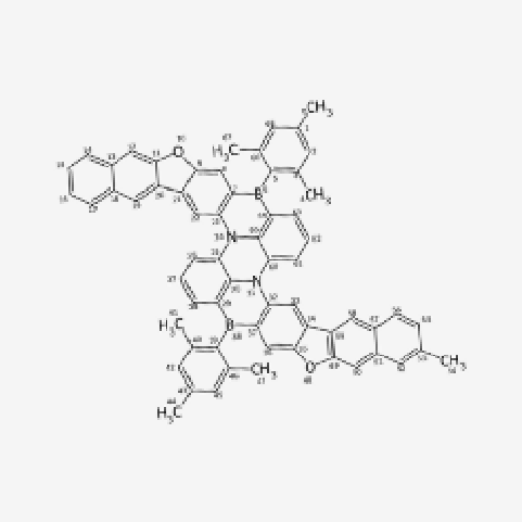 Cc1cc(C)c(B2c3cc4oc5cc6ccccc6cc5c4cc3N3c4cccc5c4N(c4cc6c(cc4B5c4c(C)cc(C)cc4C)oc4cc5cc(C)ccc5cc46)c4cccc2c43)c(C)c1